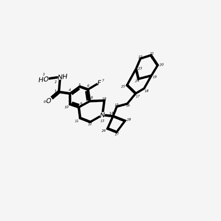 O=C(NO)c1cc(F)c2c(c1)CCN(C1(CCC3CC4CCCC(C4)C3)CCC1)C2